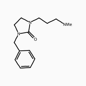 CNCCCN1CCN(Cc2ccccc2)C1=O